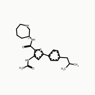 CC(C)Cc1ccc(-c2cc(NC(N)=O)c(C(=O)N[C@H]3CCCCNC3)s2)cc1